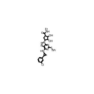 CCCSc1nc(NC2CC2c2cccc(Cl)c2)c2nnn(C3CC(C(=O)NCC)C(O)C3O)c2n1